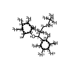 [2H]c1c([2H])c([2H])c(C(Oc2c([2H])c([2H])c([2H])c([2H])c2C)C([2H])([2H])CNC([2H])([2H])[2H])c([2H])c1[2H]